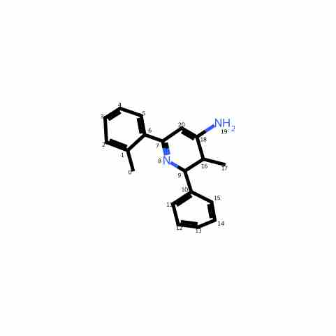 Cc1ccccc1C1=NC(c2ccccc2)C(C)C(N)=C1